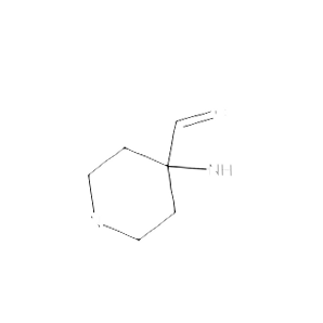 NC1(C=O)CCNCC1